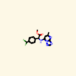 COC(=O)C(Nc1cc(C)nc2ncnn12)c1ccc(C(F)F)cc1